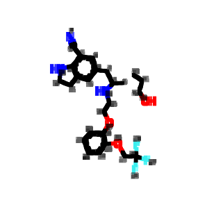 CC(Cc1cc(C#N)c2c(c1)CCN2)NCCOc1ccccc1OCC(F)(F)F.CCCO